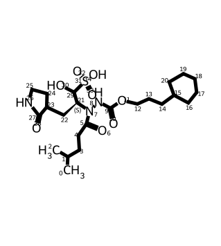 CC(C)CCC(=O)N(NC(=O)OCCCC1CCCCC1)[C@@H](CC1CCNC1=O)C(O)S(=O)(=O)O